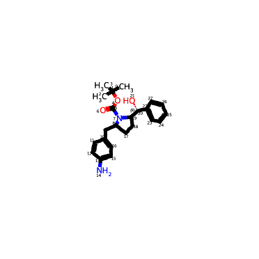 CC(C)(C)OC(=O)N1C(Cc2ccc(N)cc2)CCC1[C@H](O)c1ccccc1